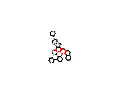 CC1(C)c2cc(-c3ccccc3)ccc2-c2ccc(N(c3cccc(-c4ccccc4)c3-c3ccccc3-c3ccccc3)c3cccc4ccccc34)cc21